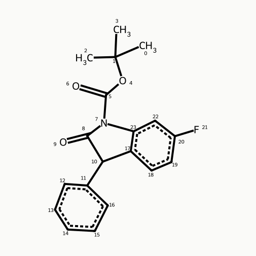 CC(C)(C)OC(=O)N1C(=O)C(c2ccccc2)c2ccc(F)cc21